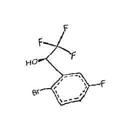 O[C@H](c1cc(F)ccc1Br)C(F)(F)F